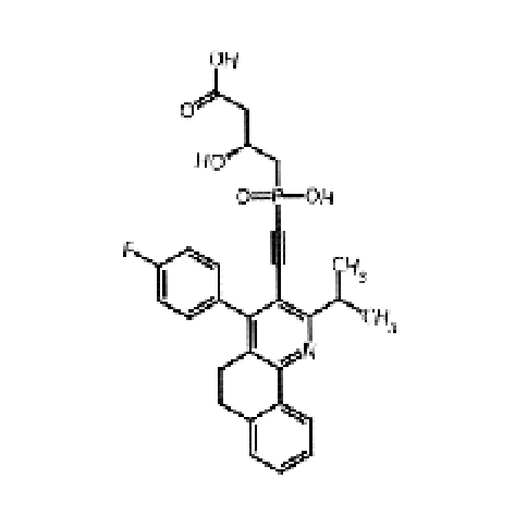 CC(C)c1nc2c(c(-c3ccc(F)cc3)c1C#CP(=O)(O)C[C@@H](O)CC(=O)O)CCc1ccccc1-2